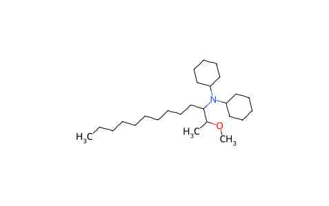 CCCCCCCCCCC(C(C)OC)N(C1CCCCC1)C1CCCCC1